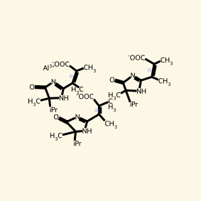 C/C(C(=O)[O-])=C(\C)C1=NC(=O)C(C)(C(C)C)N1.C/C(C(=O)[O-])=C(\C)C1=NC(=O)C(C)(C(C)C)N1.C/C(C(=O)[O-])=C(\C)C1=NC(=O)C(C)(C(C)C)N1.[Al+3]